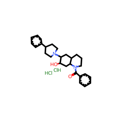 Cl.Cl.O=C(c1ccccc1)N1CCCC2CC(N3CCC(c4ccccc4)CC3)C(O)CC21